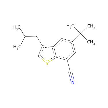 CC(C)Cc1csc2c(C#N)cc(C(C)(C)C)cc12